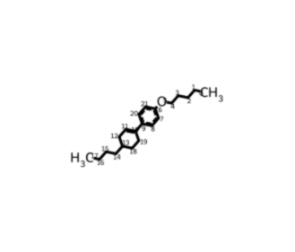 CCCCCOc1ccc(C2=CCC(CCCC)CC2)cc1